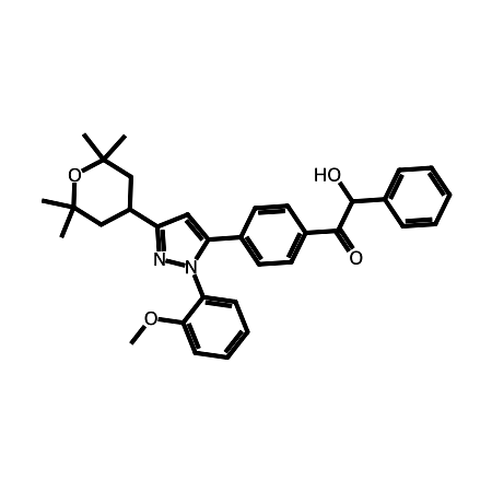 COc1ccccc1-n1nc(C2CC(C)(C)OC(C)(C)C2)cc1-c1ccc(C(=O)C(O)c2ccccc2)cc1